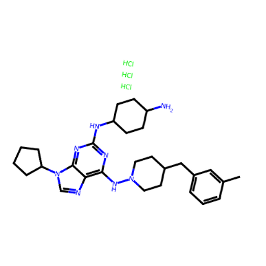 Cc1cccc(CC2CCN(Nc3nc(NC4CCC(N)CC4)nc4c3ncn4C3CCCC3)CC2)c1.Cl.Cl.Cl